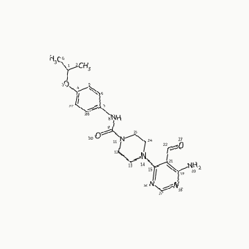 CC(C)Oc1ccc(NC(=O)N2CCN(c3ncnc(N)c3C=O)CC2)cc1